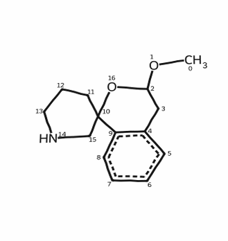 COC1Cc2ccccc2C2(CCCNC2)O1